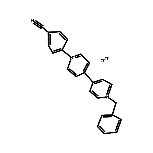 N#Cc1ccc(-[n+]2ccc(-c3cc[n+](Cc4ccccc4)cc3)cc2)cc1.[Cl-].[Cl-]